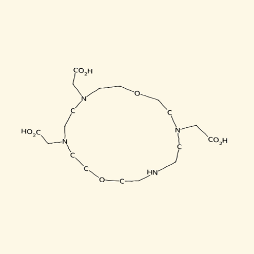 O=C(O)CN1CCNCCOCCN(CC(=O)O)CCN(CC(=O)O)CCOCC1